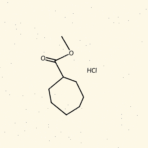 COC(=O)C1CCCCCC1.Cl